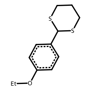 CCOc1ccc(C2SCCCS2)cc1